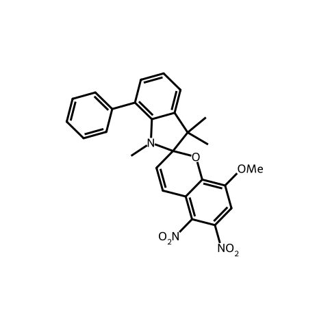 COc1cc([N+](=O)[O-])c([N+](=O)[O-])c2c1OC1(C=C2)N(C)c2c(-c3ccccc3)cccc2C1(C)C